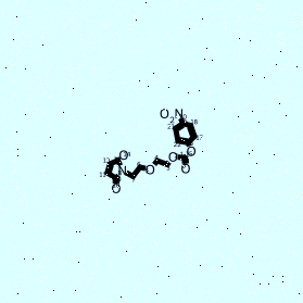 O=C(OCCOCCN1C(=O)C=CC1=O)Oc1ccc([N+](=O)[O-])cc1